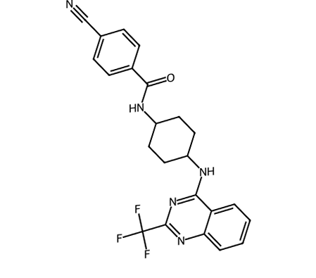 N#Cc1ccc(C(=O)NC2CCC(Nc3nc(C(F)(F)F)nc4ccccc34)CC2)cc1